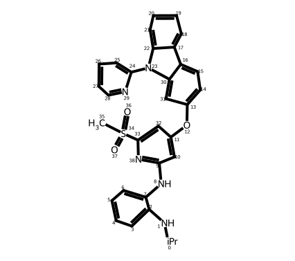 CC(C)Nc1ccccc1Nc1cc(Oc2ccc3c4ccccc4n(-c4ccccn4)c3c2)cc(S(C)(=O)=O)n1